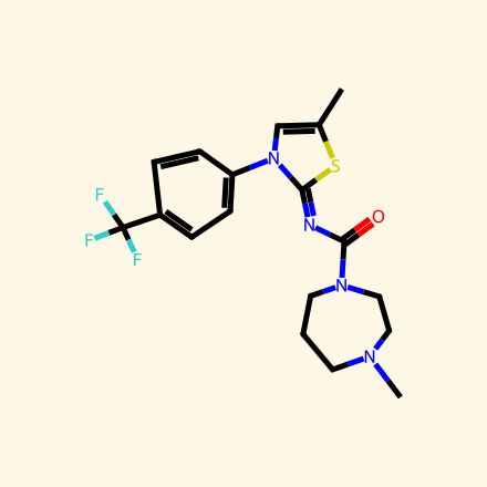 Cc1cn(-c2ccc(C(F)(F)F)cc2)c(=NC(=O)N2CCCN(C)CC2)s1